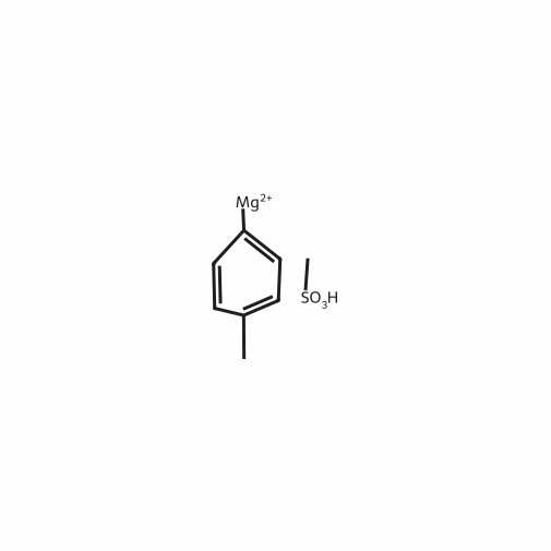 CS(=O)(=O)O.Cc1cc[c]([Mg+2])cc1